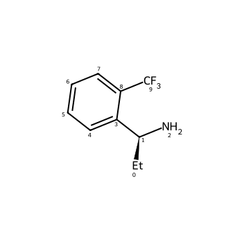 [CH2]C[C@H](N)c1ccccc1C(F)(F)F